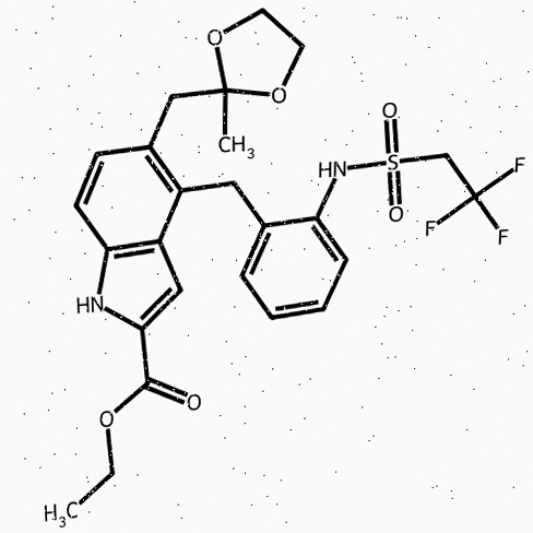 CCOC(=O)c1cc2c(Cc3ccccc3NS(=O)(=O)CC(F)(F)F)c(CC3(C)OCCO3)ccc2[nH]1